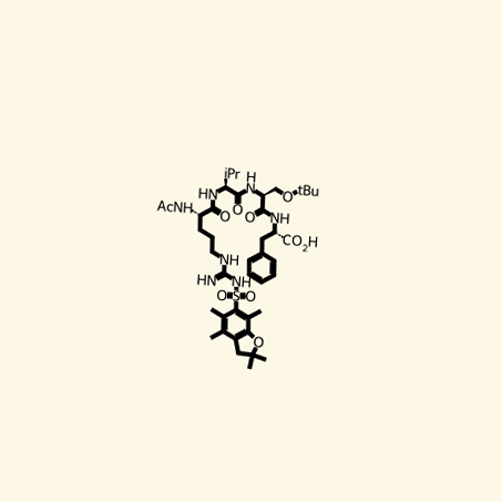 CC(=O)N[C@@H](CCCNC(=N)NS(=O)(=O)c1c(C)c(C)c2c(c1C)OC(C)(C)C2)C(=O)N[C@H](C(=O)N[C@@H](COC(C)(C)C)C(=O)N[C@@H](Cc1ccccc1)C(=O)O)C(C)C